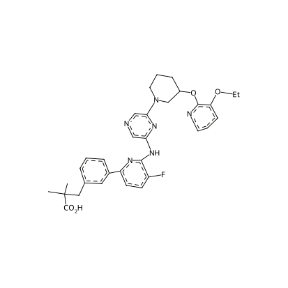 CCOc1cccnc1OC1CCCN(c2cncc(Nc3nc(-c4cccc(CC(C)(C)C(=O)O)c4)ccc3F)n2)C1